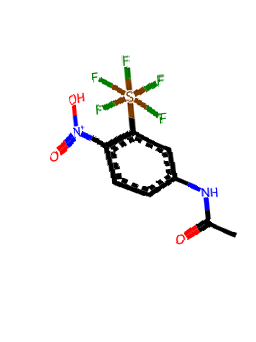 CC(=O)Nc1ccc([N+](=O)O)c(S(F)(F)(F)(F)F)c1